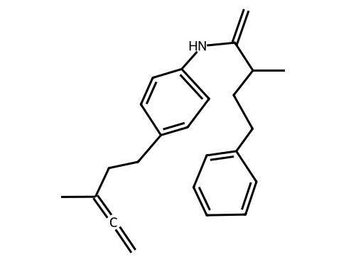 C=C=C(C)CCc1ccc(NC(=C)C(C)CCc2ccccc2)cc1